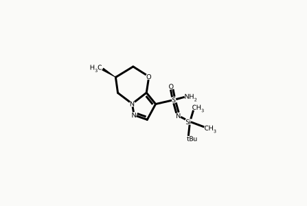 C[C@H]1COc2c(S(N)(=O)=N[Si](C)(C)C(C)(C)C)cnn2C1